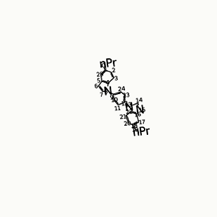 CCCc1ccc2c(ccn2-c2ccc(-n3cnc4cc(CCC)ccc43)cc2)c1